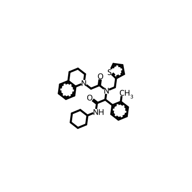 Cc1ccccc1C(C(=O)NC1CCCCC1)N(Cc1cccs1)C(=O)CN1CCCc2ccccc21